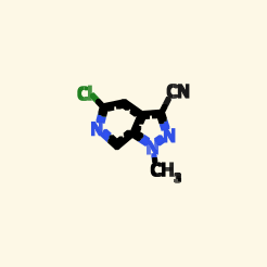 Cn1nc(C#N)c2cc(Cl)ncc21